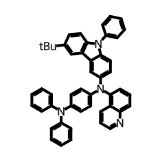 CC(C)(C)c1ccc2c(c1)c1cc(N(c3ccc(N(c4ccccc4)c4ccccc4)cc3)c3cccc4ncccc34)ccc1n2-c1ccccc1